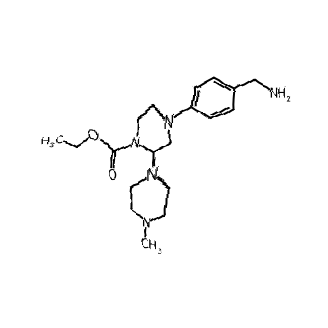 CCOC(=O)N1CCN(c2ccc(CN)cc2)CC1N1CCN(C)CC1